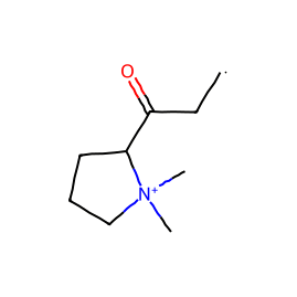 [CH2]CC(=O)C1CCC[N+]1(C)C